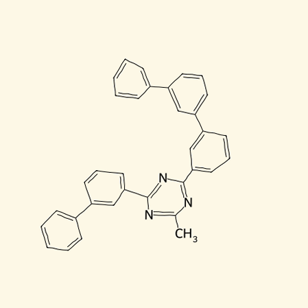 Cc1nc(-c2cccc(-c3ccccc3)c2)nc(-c2cccc(-c3cccc(-c4ccccc4)c3)c2)n1